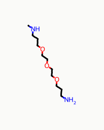 CNCCCOCCOCCOCCCN